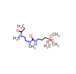 CCC(=O)N(C)CCN(C)C(=O)NCCC[Si](OC)(OC)OC